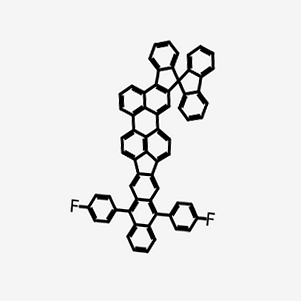 Fc1ccc(-c2c3ccccc3c(-c3ccc(F)cc3)c3cc4c(cc23)-c2ccc3c5cccc6c7c(cc(c8ccc-4c2c38)c65)C2(c3ccccc3-c3ccccc32)c2ccccc2-7)cc1